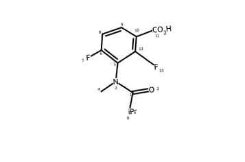 CC(C)C(=O)N(C)c1c(F)ccc(C(=O)O)c1F